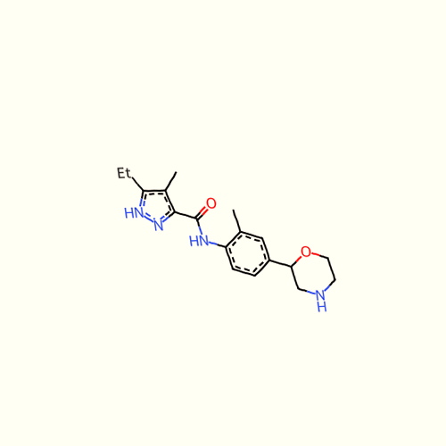 CCc1[nH]nc(C(=O)Nc2ccc(C3CNCCO3)cc2C)c1C